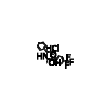 CC1NC(c2ccccc2)COC1(O)c1ccc(C(F)(F)F)cc1.Cl